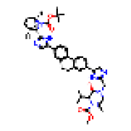 CCCN(Cc1ncc(-c2ccc3c(c2)CCc2cc(-c4cnc([C@@H]5[C@H]6CC[C@H](C6)N5C(=O)OC(C)(C)C)[nH]4)ccc2-3)[nH]1)C(=O)[C@@H](NC(=O)OC)C(C)C